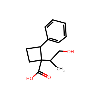 CC(CO)C1(C(=O)O)CCC1c1ccccc1